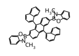 CN1B(c2ccc3c(-c4cccc5ccccc45)c4cc(B5Oc6ccccc6N5C)ccc4c(-c4cccc5ccccc45)c3c2)Oc2ccccc21